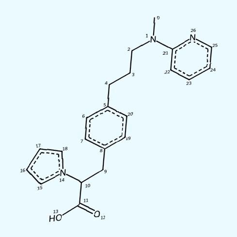 CN(CCCc1ccc(CC(C(=O)O)n2cccc2)cc1)c1ccccn1